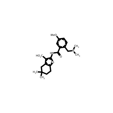 COc1ccc(CN(C)C)c(C(=O)Nc2sc3c(c2C(=O)O)CC(C)(C)CC3)c1